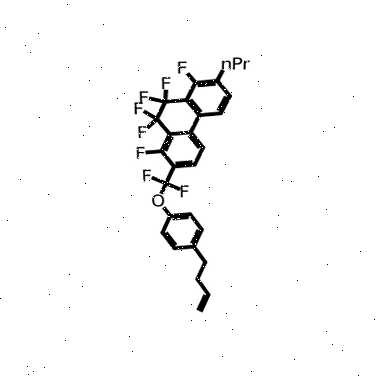 C=CCCc1ccc(OC(F)(F)c2ccc3c(c2F)C(F)(F)C(F)(F)c2c-3ccc(CCC)c2F)cc1